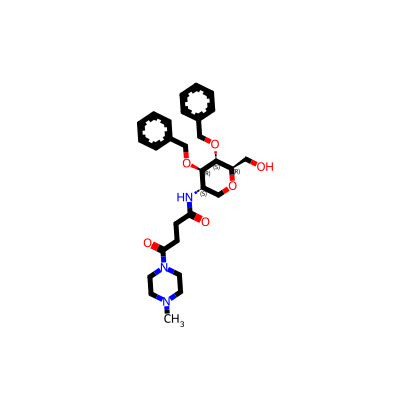 CN1CCN(C(=O)CCC(=O)N[C@H]2CO[C@H](CO)[C@@H](OCc3ccccc3)[C@@H]2OCc2ccccc2)CC1